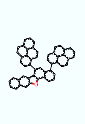 c1ccc2cc3c(cc2c1)oc1c2cccc(-c4ccc5ccc6cccc7ccc4c5c67)c2cc(-c2ccc4ccc5cccc6ccc2c4c56)c31